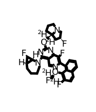 [2H]C([2H])(F)Oc1c(F)ccc2cccc(-c3ncc4c(N5CCCC[C@H]6[C@H](F)[C@H]65)nc(OC([2H])([2H])[C@@]56CCCN5C[C@H](F)C6)nc4c3F)c12